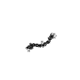 CCc1cc2ncc(CN3CCN(c4ccc(C(=O)Nc5cnn(C6CCN(c7ccc8c(c7)C(=O)N(C7CCC(=O)NC7=O)C8=O)CC6)c5)nc4)CC3)cc2[nH]c1=O